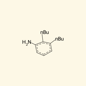 CCCCc1cccc(N)c1CCCC